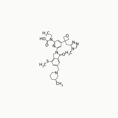 CCN(C(=O)O)c1cc(C2(Cc3nncn3C)COC2)cc(N2Cc3c(SC)cc(CN4CCC[C@H](C)C4)cc3C2=O)n1